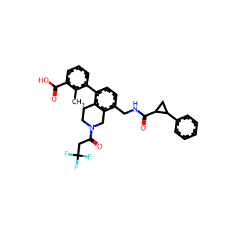 Cc1c(C(=O)O)cccc1-c1ccc(CNC(=O)C2CC2c2ccccc2)c2c1CCN(C(=O)CC(F)(F)F)C2